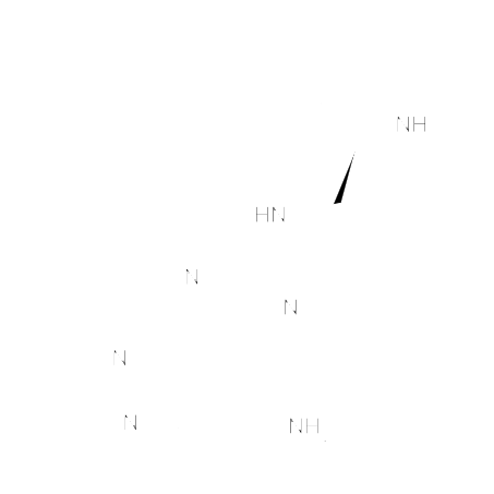 Cn1ncc2c(N)nc(NC[C@H]3CCCN3)nc21